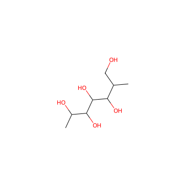 CC(O)C(O)C(O)C(O)C(C)CO